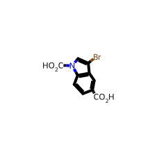 O=C(O)c1ccc2c(c1)c(Br)cn2C(=O)O